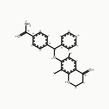 Cc1cc2c(c(C)c1OC(c1ccncc1)c1ccc(C(N)=O)cc1)OCCC2=O